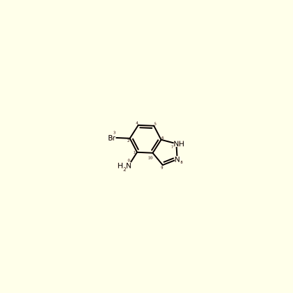 Nc1c(Br)ccc2[nH]ncc12